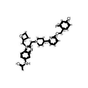 CC(=O)Nc1ccc2c(c1)nc(CN1CCC(c3cccc(OCc4ccc(Cl)cc4F)n3)CC1)n2CC1CCO1